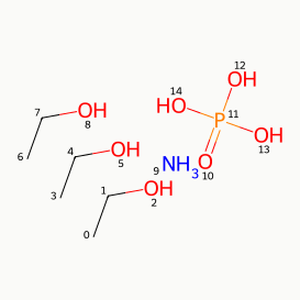 CCO.CCO.CCO.N.O=P(O)(O)O